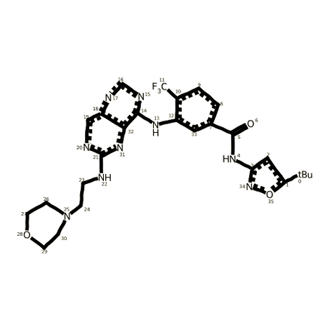 CC(C)(C)c1cc(NC(=O)c2ccc(C(F)(F)F)c(Nc3ncnc4cnc(NCCN5CCOCC5)nc34)c2)no1